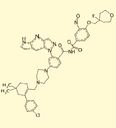 CC1(C)CCC(CN2CCN(c3ccc(C(=O)NS(=O)(=O)c4ccc(OCC5(F)CCOCC5)c(N=O)c4)c(-n4ncc5nc6[nH]ccc6cc54)c3)CC2)=C(c2ccc(Cl)cc2)C1